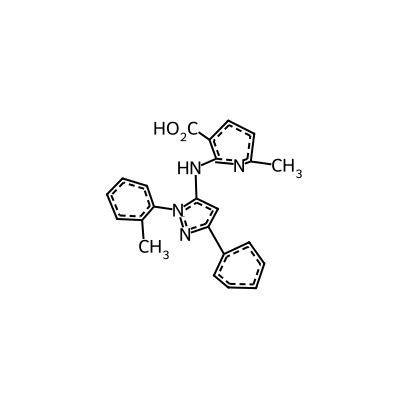 Cc1ccc(C(=O)O)c(Nc2cc(-c3ccccc3)nn2-c2ccccc2C)n1